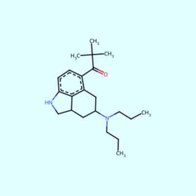 CCCN(CCC)C1Cc2c(C(=O)C(C)(C)C)ccc3c2C(CN3)C1